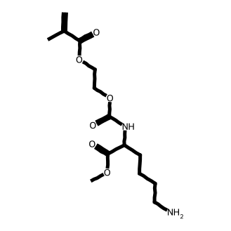 C=C(C)C(=O)OCCOC(=O)NC(CCCCN)C(=O)OC